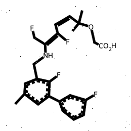 Cc1cc(CN/C(CF)=C(F)/C=C\C(C)(C)OCC(=O)O)c(F)c(-c2cccc(F)c2)c1